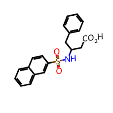 O=C(O)CC(Cc1ccccc1)NS(=O)(=O)c1ccc2ccccc2c1